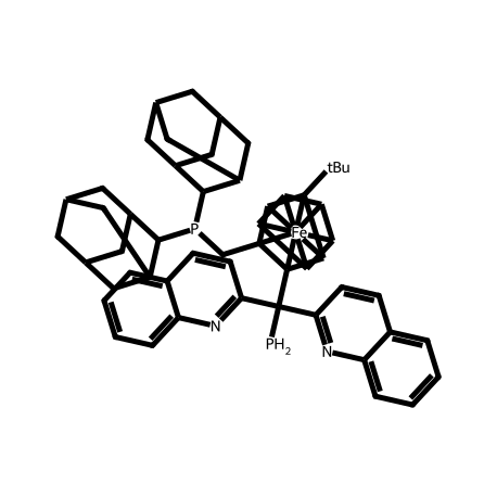 CC(C)(C)[C]12[CH]3[C]4(CP(C5C6CC7CC(C6)CC5C7)C5C6CC7CC(C6)CC5C7)[C]5(C(P)(c6ccc7ccccc7n6)c6ccc7ccccc7n6)[CH]1[Fe]34251678[CH]2[CH]1[CH]6[CH]7[CH]28